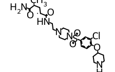 C[C@@H](C[CH]C(=O)NCCN1CCN(S(=O)(=O)c2ccc(OC3CCNCC3)c(Cl)c2)CC1)C(N)=O